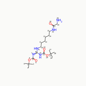 CC(C)(C)OC(=O)/N=C(/NCCCCCCNC(=O)CN)NC(=O)OC(C)(C)C